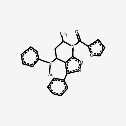 CC(=O)N(c1ccccc1)C1CC(C)N(C(=O)c2ccco2)c2onc(-c3ccccc3)c21